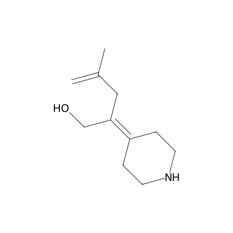 C=C(C)CC(CO)=C1CCNCC1